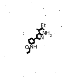 C=CC(=O)Nc1cccc(-c2cnc(N)c(/C(C)=C(\C)CC)c2)c1